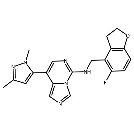 Cc1cc(-c2cnc(NCc3c(F)ccc4c3CCO4)n3cncc23)n(C)n1